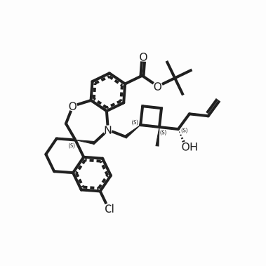 C=CC[C@H](O)[C@@]1(C)CC[C@@H]1CN1C[C@@]2(CCCc3cc(Cl)ccc32)COc2ccc(C(=O)OC(C)(C)C)cc21